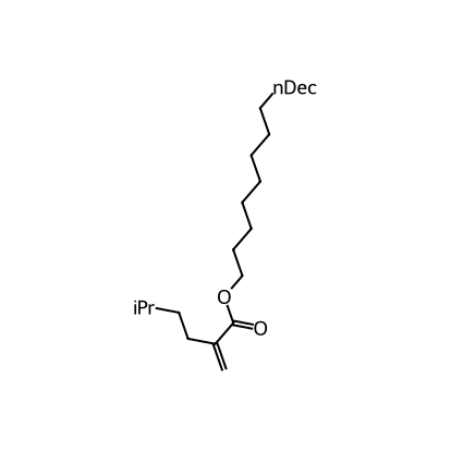 C=C(CCC(C)C)C(=O)OCCCCCCCCCCCCCCCCCC